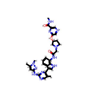 CNC(=O)c1cncc(O[C@H]2CCN(CC(=O)Nc3cccc4c(-c5nc(Nc6cc(C)n(C)n6)ncc5C)c[nH]c34)C2)n1